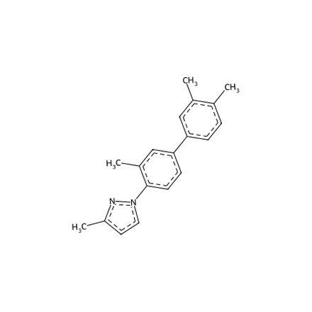 Cc1ccn(-c2ccc(-c3ccc(C)c(C)c3)cc2C)n1